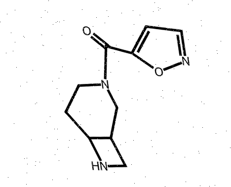 O=C(c1ccno1)N1CCC2NCC2C1